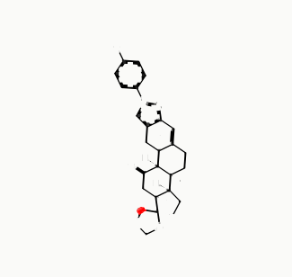 C[C@]12Cc3cn(-c4ccc(O)cc4)nc3C=C1CC[C@@H]1[C@@H]2C(=O)C[C@@]2(C)[C@H]1CC[C@@]21OCOC12COCO2